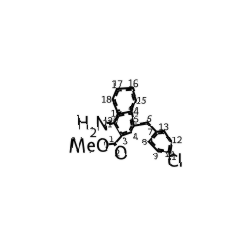 COC(=O)c1cc(Cc2ccc(Cl)cc2)c2ccccc2c1N